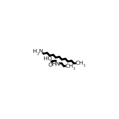 CCCCCCCCCCCCN.CCCNCC(=O)O